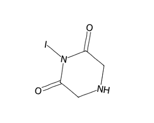 O=C1CNCC(=O)N1I